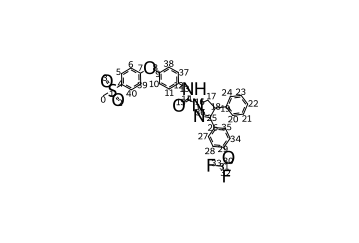 CS(=O)(=O)c1ccc(Oc2ccc(NC(=O)N3CC(c4ccccc4)C(c4ccc(OC(F)F)cc4)=N3)cc2)cc1